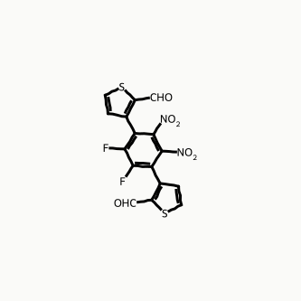 O=Cc1sccc1-c1c(F)c(F)c(-c2ccsc2C=O)c([N+](=O)[O-])c1[N+](=O)[O-]